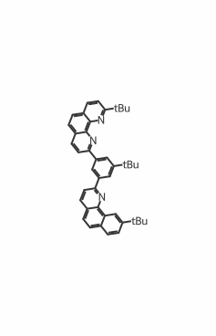 CC(C)(C)c1cc(-c2ccc3ccc4ccc(C(C)(C)C)cc4c3n2)cc(-c2ccc3ccc4ccc(C(C)(C)C)nc4c3n2)c1